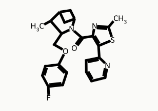 Cc1nc(C(=O)N2C3CC(C3)C(C)C2COc2ccc(F)cc2)c(-c2ccccn2)s1